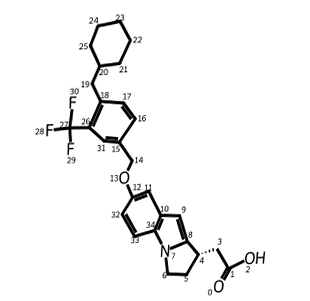 O=C(O)C[C@@H]1CCn2c1cc1cc(OCc3ccc(CC4CCCCC4)c(C(F)(F)F)c3)ccc12